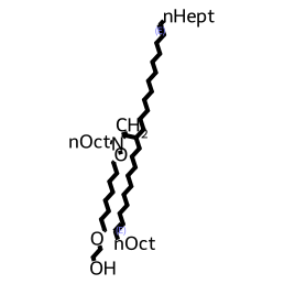 C=C(C(CCCCCCCC/C=C/CCCCCCCC)CCCCCCCCCC/C=C/CCCCCCC)N(CCCCCCCC)OCCCCCCCCOCCO